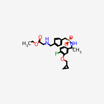 CCOC(=O)CNCc1ccc(CS(=O)(=O)N[C@H](C)c2ccc(F)c(OCC3CC3)c2)cc1